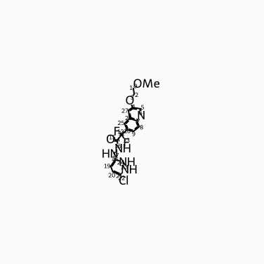 COCCOc1cnc2ccc(C(F)(F)C(=O)NNC3=CC=C(Cl)NN3)cc2c1